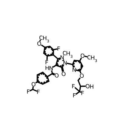 COc1cc(OCC(O)C(F)(F)F)nc(-n2c(=O)c(NC(=O)c3ccc(OC(F)F)cc3)c(-c3c(F)cc(OC)cc3F)n2C)c1